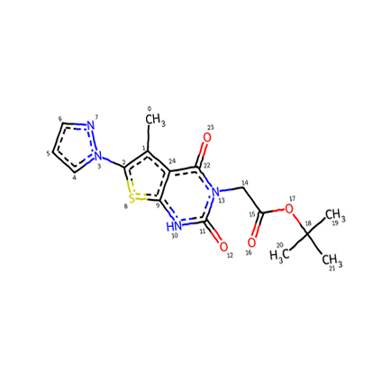 Cc1c(-n2cccn2)sc2[nH]c(=O)n(CC(=O)OC(C)(C)C)c(=O)c12